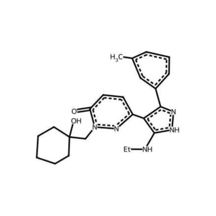 CCNc1[nH]nc(-c2cccc(C)c2)c1-c1ccc(=O)n(CC2(O)CCCCC2)n1